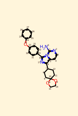 Nc1nccc2c(C3CCC4(CC3)OCCO4)nc(-c3ccc(Oc4ccccc4)cc3)n12